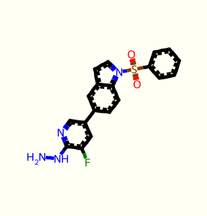 NNc1ncc(-c2ccc3c(ccn3S(=O)(=O)c3ccccc3)c2)cc1F